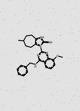 COc1cccc2c(NCc3ccccc3)nc(-n3c4c([nH]c3=N)CCC(C)CC4)nc12